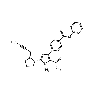 CC#CCN1CCC[C@H]1c1nc(-c2ccc(C(=O)Nc3ccccn3)cc2)c(C(N)=O)n1N